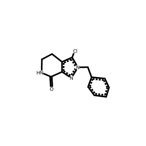 O=C1NCCc2c1nn(Cc1ccccc1)c2Cl